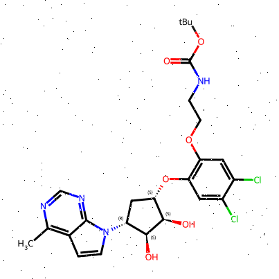 Cc1ncnc2c1ccn2[C@@H]1C[C@H](Oc2cc(Cl)c(Cl)cc2OCCNC(=O)OC(C)(C)C)[C@@H](O)[C@H]1O